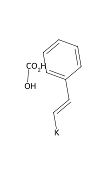 O=C(O)O.[K][CH]=Cc1ccccc1